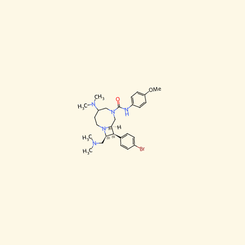 COc1ccc(NC(=O)N2CC(N(C)C)CCN3[C@H](CN(C)C)[C@H](c4ccc(Br)cc4)[C@@H]3C2)cc1